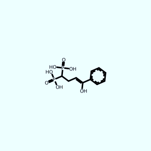 O=P(O)(O)C(CC=C(O)c1ccccc1)P(=O)(O)O